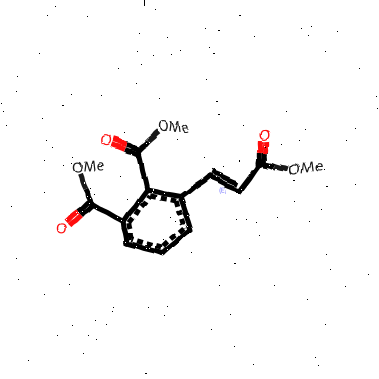 COC(=O)/C=C/c1cccc(C(=O)OC)c1C(=O)OC